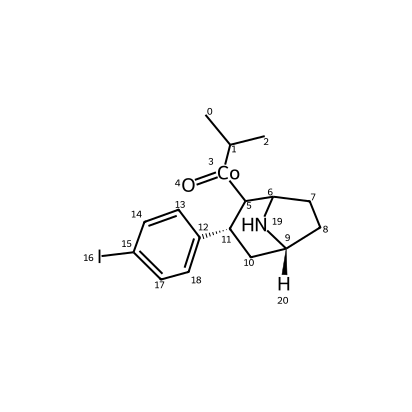 C[CH](C)[Co](=[O])[CH]1C2CC[C@H](C[C@@H]1c1ccc(I)cc1)N2